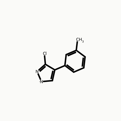 Cc1cccc(C2=C[N]N=C2Cl)c1